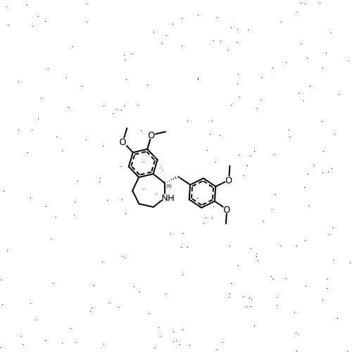 COc1ccc(C[C@@H]2NCCCc3cc(OC)c(OC)cc32)cc1OC